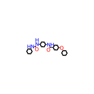 O=C(Nc1ccccc1)Nc1ccc(NC(=O)c2ccc(Oc3ccccc3)cc2)cc1